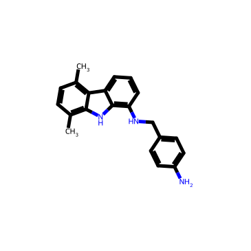 Cc1ccc(C)c2c1[nH]c1c(NCc3ccc(N)cc3)cccc12